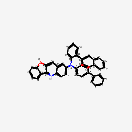 c1ccc(-c2ccc(N(c3ccc4nc5c(cc4c3)oc3ccccc35)c3ccccc3-c3ccc4ccccc4c3)cc2)cc1